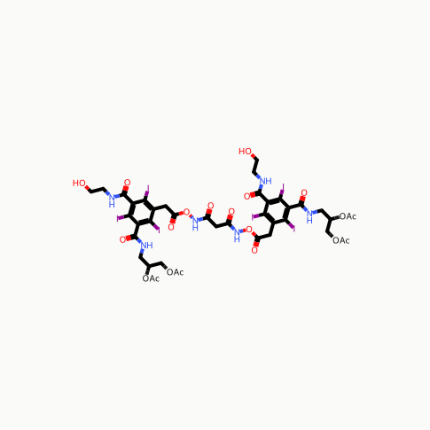 CC(=O)OCC(CNC(=O)c1c(I)c(CC(=O)ONC(=O)CC(=O)NOC(=O)Cc2c(I)c(C(=O)NCCO)c(I)c(C(=O)NCC(COC(C)=O)OC(C)=O)c2I)c(I)c(C(=O)NCCO)c1I)OC(C)=O